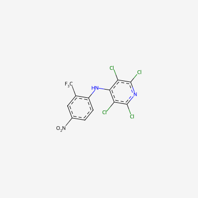 O=[N+]([O-])c1ccc(Nc2c(Cl)c(Cl)nc(Cl)c2Cl)c(C(F)(F)F)c1